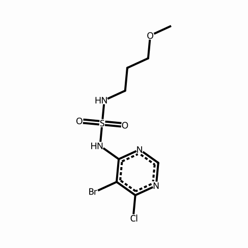 COCCCNS(=O)(=O)Nc1ncnc(Cl)c1Br